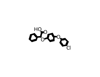 O=C(O)C(Oc1ccc(Oc2ccc(Cl)cc2)cc1)c1ccccc1